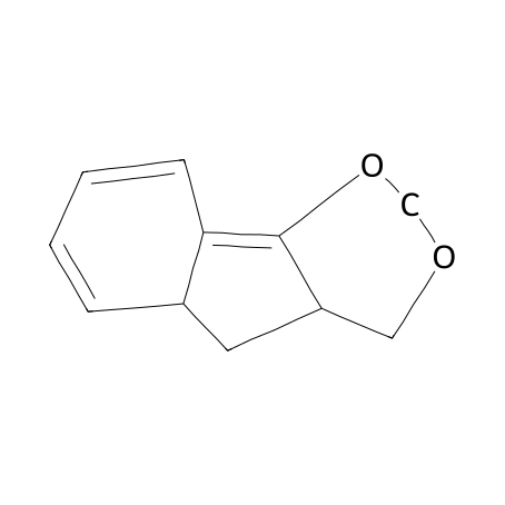 C1=CC2=C3OCOCC3CC2C=C1